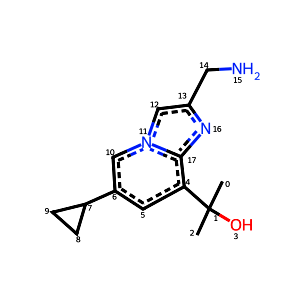 CC(C)(O)c1cc(C2CC2)cn2cc(CN)nc12